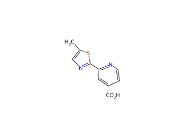 Cc1cnc(-c2cc(C(=O)O)ccn2)s1